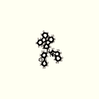 c1ccc2c(c1)-c1ccccc1C21c2ccccc2-c2cc(N(c3ccc4oc5ccccc5c4c3)c3cc4ccc5ccccc5n4n3)ccc21